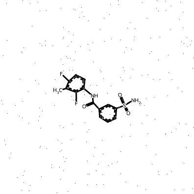 Cc1c(F)ccc(NC(=O)c2cccc(S(N)(=O)=O)c2)c1F